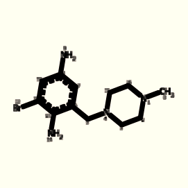 CN1CCN(Cc2cc(N)cc(Br)c2N)CC1